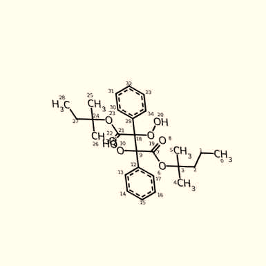 CCCC(C)(C)OC(=O)C(OO)(c1ccccc1)C(OO)(C(=O)OC(C)(C)CC)c1ccccc1